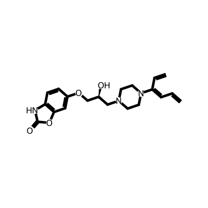 C=C/C=C(\C=C)N1CCN(C[C@H](O)COc2ccc3[nH]c(=O)oc3c2)CC1